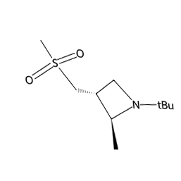 C[C@H]1[C@H](CS(C)(=O)=O)CN1C(C)(C)C